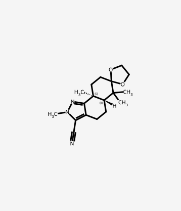 Cn1nc2c(c1C#N)CC[C@H]1C(C)(C)C3(CC[C@]21C)OCCO3